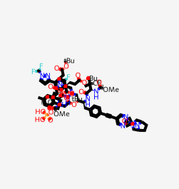 COC(=O)N[C@H](C(=O)N[C@@H](Cc1ccc(C#Cc2cnc(N3CC4CCC(C3)N4C3COC3)nc2)cc1)[C@H](CN(Cc1c(F)cc(-c2ccn(C(F)F)n2)cc1F)NC(=O)[C@@H](NC(=O)OC)C(C)(C)C(F)(F)F)OC(=O)CC(C)(C)c1c(CC(=O)N(CCC(=O)OC(C)(C)C)[C@@H](CCC(=O)OC(C)(C)C)C(=O)OC(C)(C)C)cc(C)cc1OP(=O)(O)O)C(C)(C)C(F)(F)F